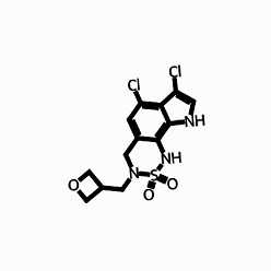 O=S1(=O)Nc2c(cc(Cl)c3c(Cl)c[nH]c23)CN1CC1COC1